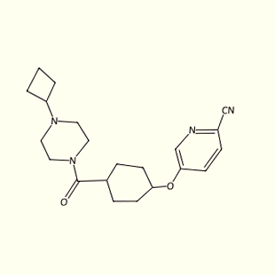 N#Cc1ccc(OC2CCC(C(=O)N3CCN(C4CCC4)CC3)CC2)cn1